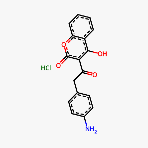 Cl.Nc1ccc(CC(=O)c2c(O)c3ccccc3oc2=O)cc1